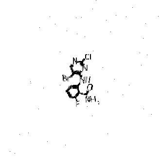 NC(=O)c1c(F)cccc1Nc1nc(Cl)ncc1Br